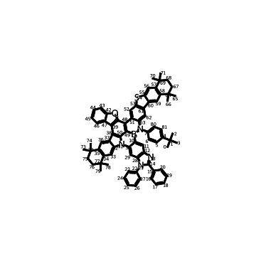 CC(C)(C)c1ccc(N2B3c4cc5nc(-c6ccccc6)n(-c6ccccc6)c5cc4-n4c5cc6c(cc5c5c7c(oc8ccccc87)c(c3c54)-c3cc4sc5cc7c(cc5c4cc32)C(C)(C)CCC7(C)C)C(C)(C)CCC6(C)C)cc1